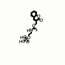 O=c1oc2ccccc2cc1COC(=S)NCCOP(=O)(O)O